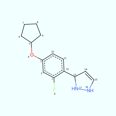 Fc1cc(OC2CCCC2)ccc1C1C=CNN1